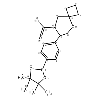 CC1(C)OB(c2ccc(C3COC4(CCC4)CN3C(=O)O)cc2)OC1(C)C